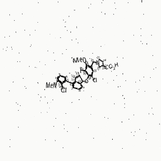 CNc1cccc(-c2cccc3c2CCC3Oc2c(Cl)cc(CN3CCC(C(=O)O)C3)c(OC)c2F)c1Cl